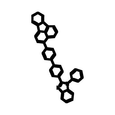 C1=C2C(=CCC1)c1ccc(-c3ccc(-c4ccc(-c5nc6ccccc6n5-c5ccccc5)cc4)cc3)c3cccc2c13